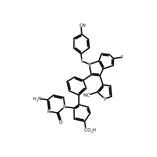 N#Cc1ccc(Sn2c(-c3cccc(-c4ccc(C(=O)O)cc4-n4ccc(N)nc4=O)c3)c(-c3ccsc3C#N)c3cc(F)ccc32)cc1